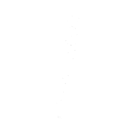 CCCCCCCCCCCCCCCCCC(=O)OCOc1ccccc1